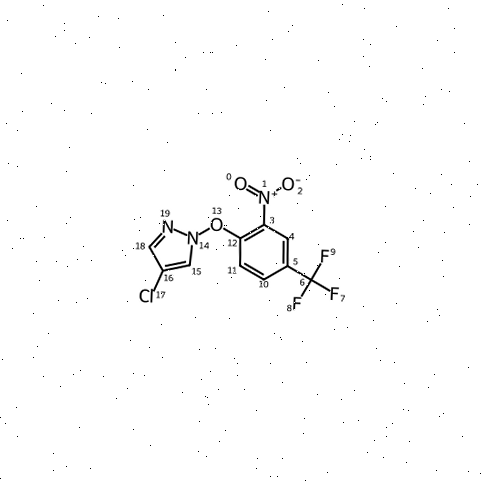 O=[N+]([O-])c1cc(C(F)(F)F)ccc1On1cc(Cl)cn1